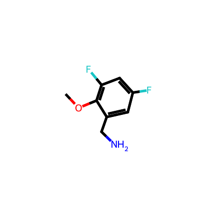 COc1c(F)cc(F)cc1CN